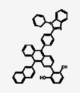 Oc1cccc(O)c1-c1ccc2c(-c3ccc(-c4nc5ccccc5n4C4C=CC=CC4)cc3)c3ccccc3c(-c3ccc4ccccc4c3)c2c1